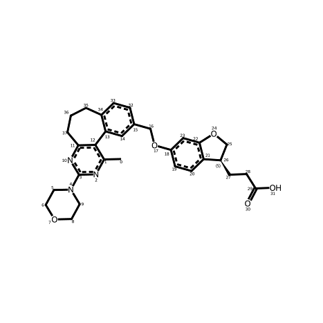 Cc1nc(N2CCOCC2)nc2c1-c1cc(COc3ccc4c(c3)OC[C@H]4CCC(=O)O)ccc1CCC2